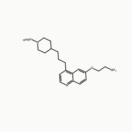 CCCCCCCN1CCC(CCCc2ccnc3ccc(OCCN)cc23)CC1